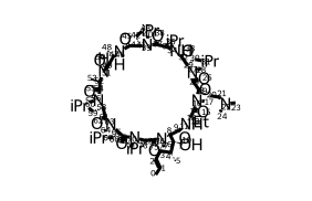 C/C=C/C[C@@H](C)[C@@H](O)[C@H]1C(=O)N[C@H](CC)C(=O)N(C)[C@H](OCCN(C)C)C(=O)N(C)[C@@H](CC(C)C)C(=O)N[C@@H](C(C)C)C(=O)N(C)[C@@H](CC(C)C)C(=O)N[C@@H](C)C(=O)N[C@H](C)C(=O)N(C)[C@@H](CC(C)C)C(=O)N(C)[C@@H](CC(C)C)C(=O)N(C)[C@@H](C(C)C)C(=O)N1C